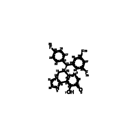 O=c1cnn2c(c1O)-c1nccn1C[C@@H]2C(c1ccc(F)cc1)c1cc(F)cc(F)c1